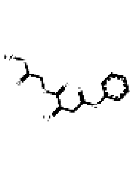 C=C(CC(=O)Oc1ccccc1)C(=O)OCC(=O)OC